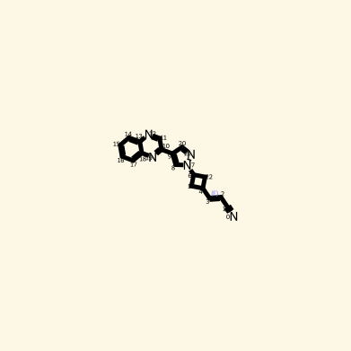 N#C/C=C/C1CC(n2cc(-c3cnc4ccccc4n3)cn2)C1